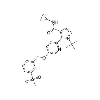 CC(C)(C)n1ncc(C(=O)NC2CC2)c1-c1ccc(OCc2cccc(S(C)(=O)=O)c2)cn1